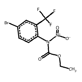 CCOC(=O)N(c1ccc(Br)cc1C(F)(F)F)[N+](=O)[O-]